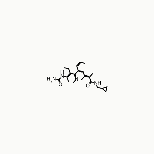 C\C=C/C(=C/C(C)=C(\C)C(=O)NCC1CC1)C(=N/C)/C(CC)=C(\C)NC(N)=O